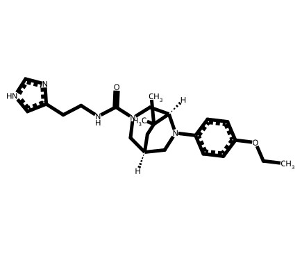 CCOc1ccc(N2C[C@H]3CN(C(=O)NCCc4c[nH]cn4)C[C@@H]2C(C)(C)C3)cc1